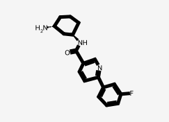 N[C@@H]1CCC[C@@H](NC(=O)c2ccc(-c3cccc(F)c3)nc2)C1